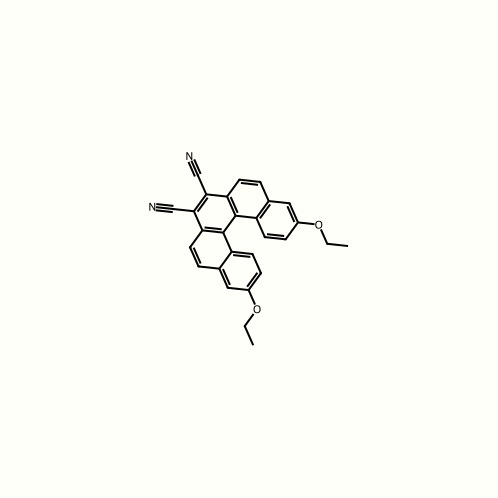 CCOc1ccc2c(ccc3c(C#N)c(C#N)c4ccc5cc(OCC)ccc5c4c32)c1